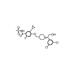 CS(=O)(=O)NC(=O)c1cc(C2CC2)c(OCC2CCN(C(CO)c3cc(Cl)cc(Cl)c3)CC2)cc1F